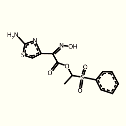 CC(OC(=O)C(=NO)c1csc(N)n1)S(=O)(=O)c1ccccc1